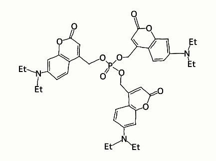 CCN(CC)c1ccc2c(COP(=O)(OCc3cc(=O)oc4cc(N(CC)CC)ccc34)OCc3cc(=O)oc4cc(N(CC)CC)ccc34)cc(=O)oc2c1